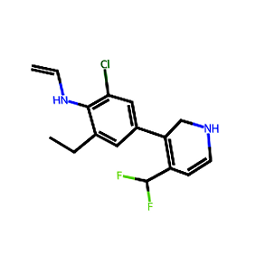 C=CNc1c(Cl)cc(C2=C(C(F)F)C=CNC2)cc1CC